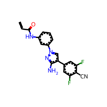 C=CC(=O)Nc1cccc(-n2cc(-c3cc(F)c(C#N)c(F)c3)c(N)n2)c1